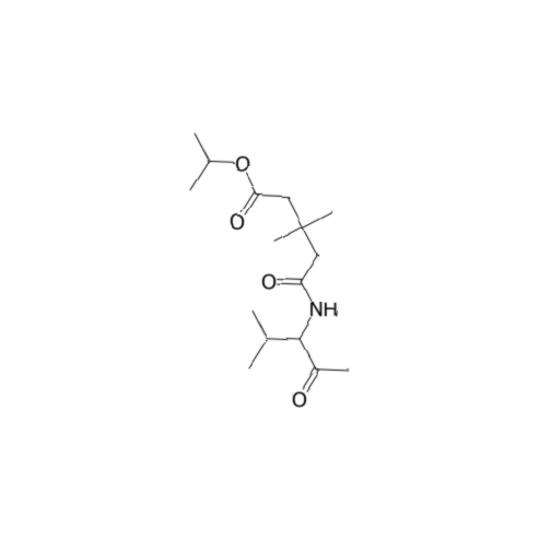 CC(=O)C(NC(=O)CC(C)(C)CC(=O)OC(C)C)C(C)C